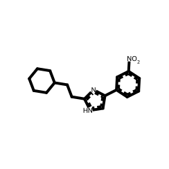 O=[N+]([O-])c1cccc(-c2c[nH]c(CCC3CCCCC3)n2)c1